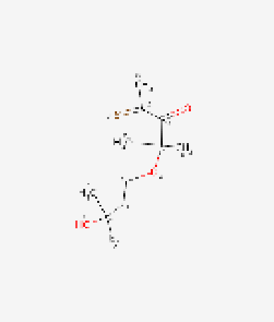 CCC(C)(O)CCOC(C)(C)C(=O)C(C)=S